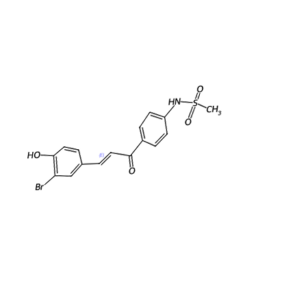 CS(=O)(=O)Nc1ccc(C(=O)/C=C/c2ccc(O)c(Br)c2)cc1